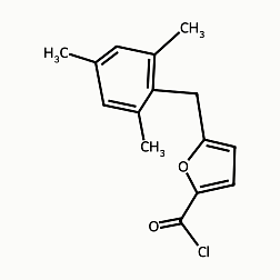 Cc1cc(C)c(Cc2ccc(C(=O)Cl)o2)c(C)c1